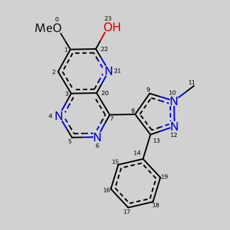 COc1cc2ncnc(-c3cn(C)nc3-c3ccccc3)c2nc1O